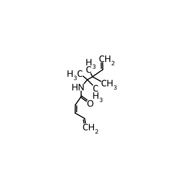 C=C/C=C\C(=O)NC(C)(C)C(C)(C)C=C